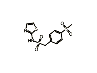 CS(=O)(=O)c1ccc(CS(=O)(=O)Nc2nccs2)cc1